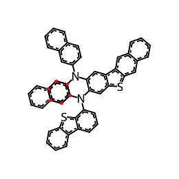 c1ccc(N(c2cc3sc4cc5ccccc5cc4c3cc2N(c2ccc3ccccc3c2)c2ccc3ccccc3c2)c2cccc3c2sc2ccccc23)cc1